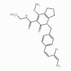 C/C=C(\C=C/c1ccc(Cn2c3c(c(ON)c(C(=O)NCC(=O)O)c2=O)CSC3)cc1)C(C)=O